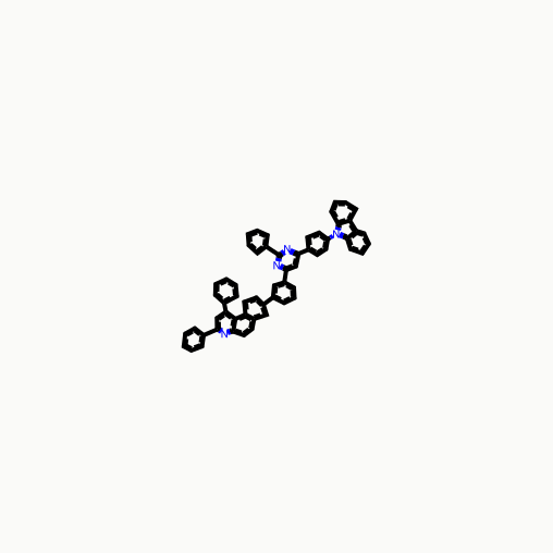 c1ccc(-c2cc(-c3ccccc3)c3c(ccc4cc(-c5cccc(-c6cc(-c7ccc(-n8c9ccccc9c9ccccc98)cc7)nc(-c7ccccc7)n6)c5)ccc43)n2)cc1